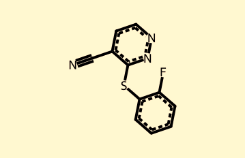 N#Cc1ccnnc1Sc1ccccc1F